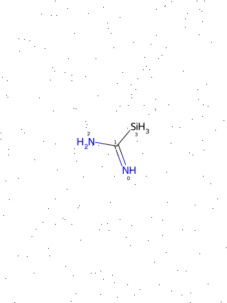 N=C(N)[SiH3]